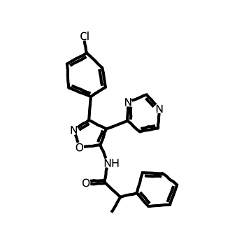 CC(C(=O)Nc1onc(-c2ccc(Cl)cc2)c1-c1ccncn1)c1ccccc1